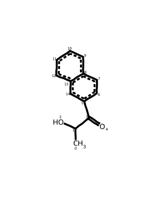 CC(O)C(=O)c1ccc2ccccc2c1